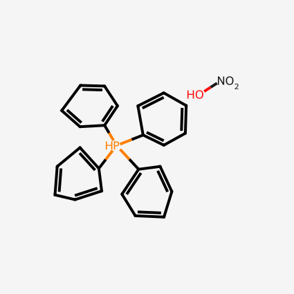 O=[N+]([O-])O.c1ccc([PH](c2ccccc2)(c2ccccc2)c2ccccc2)cc1